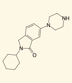 O=C1c2cc(N3CCNCC3)ccc2CN1C1CCCCC1